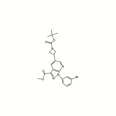 COC(=O)c1nn(-c2cccc(Br)c2)c2ncc(C3CN(C(=O)OC(C)(C)C)C3)cc12